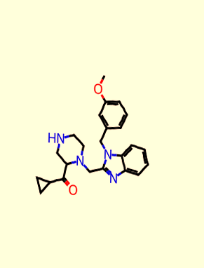 COc1cccc(Cn2c(CN3CCNCC3C(=O)C3CC3)nc3ccccc32)c1